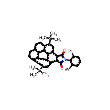 CC(C)c1cccc(C(C)C)c1-n1c(=O)c2c3cc([Si](C)(C)C)c4ccc5ccc6c([Si](C)(C)C)cc(c2c1=O)c1c6c5c4c31